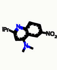 CC(C)c1cc(N(C)C)c2cc([N+](=O)[O-])ccc2n1